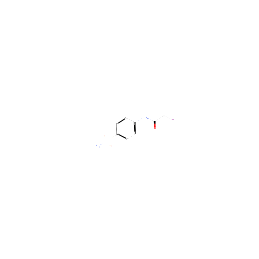 NS(=O)(=O)c1ccc(NC(=O)CI)cc1